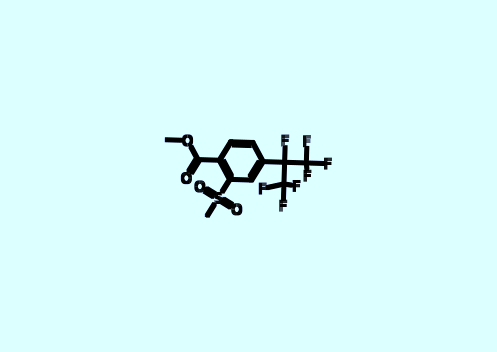 COC(=O)c1ccc(C(F)(C(F)(F)F)C(F)(F)F)cc1S(C)(=O)=O